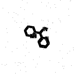 CC(C)C(c1ccccn1)C1CCCCN1